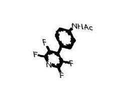 CC(=O)Nc1ccc(-c2c(F)c(F)nc(F)c2F)cc1